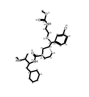 CNC(C)C(CC1CCCCC1)NC(=O)N1CCC[C@@H]([C@@H](OCCNC(=O)OC)c2cccc(Cl)c2)C1